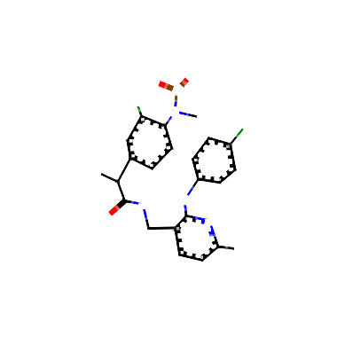 CC(C(=O)NCc1ccc(C(F)(F)F)nc1Nc1ccc(Cl)cc1)c1ccc(N(C)[SH](=O)=O)c(F)c1